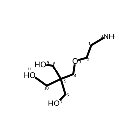 [NH]CCOCC(CO)(CO)CO